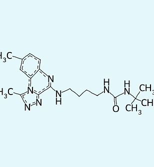 Cc1ccc2nc(NCCCCNC(=O)NC(C)(C)C)c3nnc(C)n3c2c1